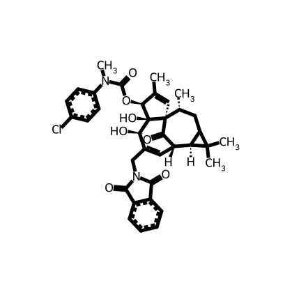 CC1=C[C@]23C(=O)[C@@H](C=C(CN4C(=O)c5ccccc5C4=O)[C@@H](O)[C@]2(O)[C@H]1OC(=O)N(C)c1ccc(Cl)cc1)[C@H]1C(C[C@H]3C)C1(C)C